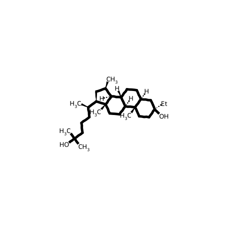 CC[C@]1(O)CC[C@@]2(C)[C@@H](CC[C@H]3[C@@H]4[C@H](C)C[C@H]([C@H](C)CCCC(C)(C)O)[C@@]4(C)CC[C@@H]32)C1